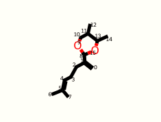 C=C(CCC=C(C)C)C1OCC(C)C(C)O1